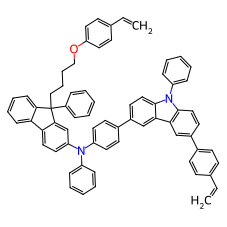 C=Cc1ccc(OCCCCC2(c3ccccc3)c3ccccc3-c3ccc(N(c4ccccc4)c4ccc(-c5ccc6c(c5)c5cc(-c7ccc(C=C)cc7)ccc5n6-c5ccccc5)cc4)cc32)cc1